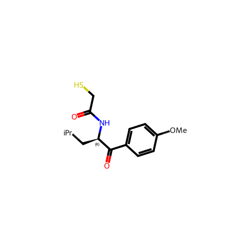 COc1ccc(C(=O)[C@@H](CC(C)C)NC(=O)CS)cc1